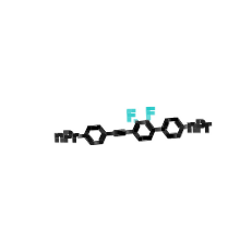 CCCc1ccc(C#Cc2ccc(-c3ccc(CCC)cc3)c(F)c2F)cc1